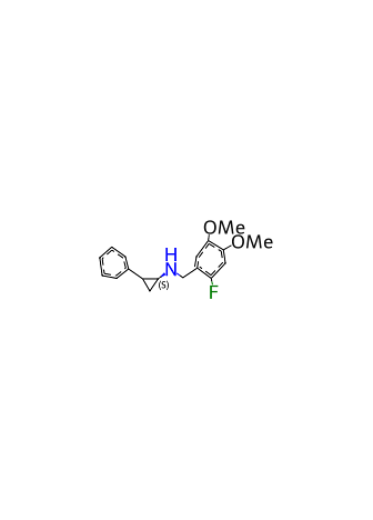 COc1cc(F)c(CN[C@H]2CC2c2ccccc2)cc1OC